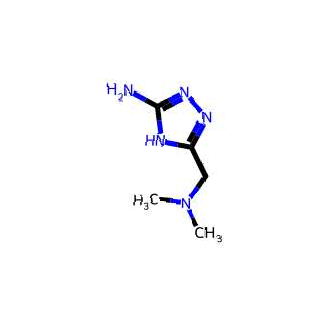 CN(C)Cc1nnc(N)[nH]1